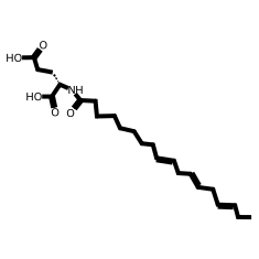 CCC=CCC=CCC=CCCCCCCCC(=O)N[C@@H](CCC(=O)O)C(=O)O